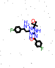 CC1(CN/C(=N/C(=O)c2ccc(F)cc2)NC(N)CC(N)c2ccc(F)cc2)COC1